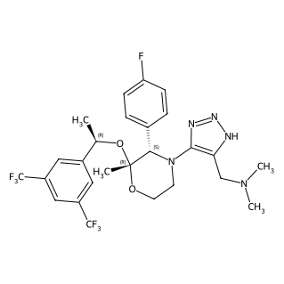 C[C@@H](O[C@@]1(C)OCCN(c2nn[nH]c2CN(C)C)[C@H]1c1ccc(F)cc1)c1cc(C(F)(F)F)cc(C(F)(F)F)c1